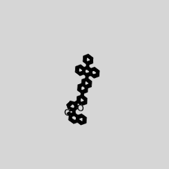 c1ccc(-c2c3ccccc3c(-c3ccc4cc(-c5ccc6oc7c(ccc8oc9ccc%10ccccc%10c9c87)c6c5)ccc4c3)c3ccccc23)cc1